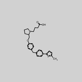 Cc1ccc(-c2ccc(Cc3ccc(OCC4CCCN4CCCC(=O)O)cc3)cc2)s1